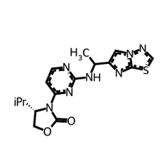 CC(Nc1nccc(N2C(=O)OC[C@@H]2C(C)C)n1)c1cn2ncsc2n1